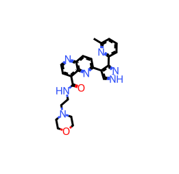 Cc1cccc(-c2n[nH]cc2-c2ccc3nccc(C(=O)NCCN4CCOCC4)c3n2)n1